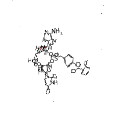 COc1ccccc1C(=O)Oc1ccc(CSP2(=O)OC[C@H]3O[C@@H](n4ccc(=O)[nH]c4=O)[C@H](F)[C@@H]3OP(=O)(O)OC[C@H]3O[C@@H](n4cnc5c(N)ncnc54)[C@H](O2)[C@@H]3F)cc1